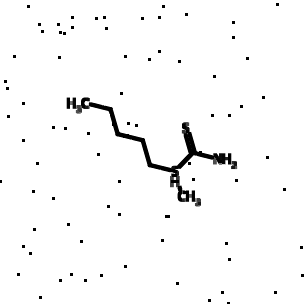 CCCCC[SH](C)C(N)=S